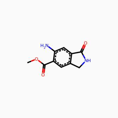 COC(=O)c1cc2c(cc1N)C(=O)NC2